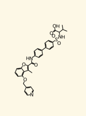 Cc1c(C(=O)Nc2ccc(-c3ccc(S(=O)(=O)NC(C(=O)O)C(C)C)cc3)cc2)oc2cccc(OCc3ccncc3)c12